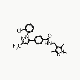 Cc1nn(C)c(C)c1CNC(=O)c1ccc(-c2cc(C(F)(F)F)nn2-c2ccccc2Cl)cc1